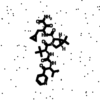 CC(C)[C@H](NC(=O)N[C@H](C(=O)N1C[C@H]2[C@@H]([C@H]1C(=O)NC(CC1CC1)C(=O)C(N)=O)C2(C)C)C(C)(C)C)C(=O)c1cccnc1